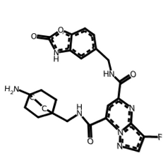 NC12CCC(CNC(=O)c3cc(C(=O)NCc4ccc5oc(=O)[nH]c5c4)nc4c(F)cnn34)(CC1)CC2